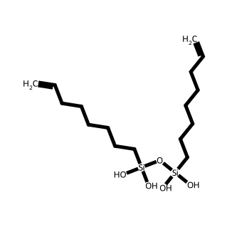 C=CCCCCCC[Si](O)(O)O[Si](O)(O)CCCCCCC=C